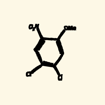 COc1cc(Cl)c(Cl)cc1[N+](=O)[O-]